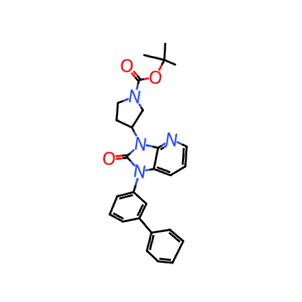 CC(C)(C)OC(=O)N1CCC(n2c(=O)n(-c3cccc(-c4ccccc4)c3)c3cccnc32)C1